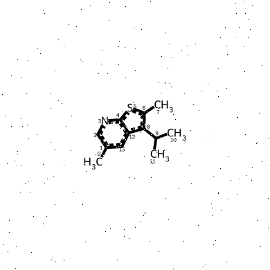 Cc1cnc2sc(C)c(C(C)C)c2c1